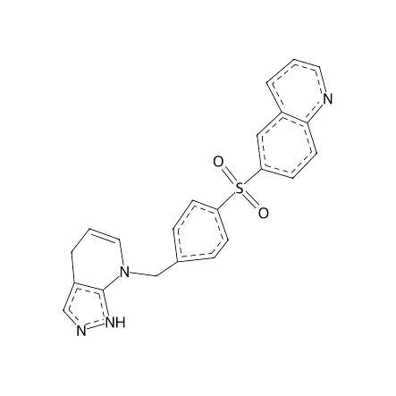 O=S(=O)(c1ccc(CN2C=CCc3cn[nH]c32)cc1)c1ccc2ncccc2c1